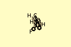 CCOC(=O)NC1N=C(c2ccc(F)cc2)c2ccccc2NC1=O